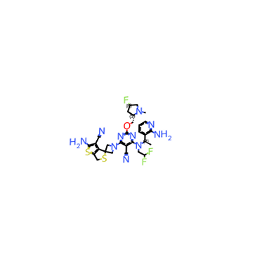 C[C@H](c1cccnc1N)N(CC(F)F)c1nc(OC[C@@H]2C[C@@H](F)CN2C)nc(N2CC3(C2)SCc2sc(N)c(C#N)c23)c1C#N